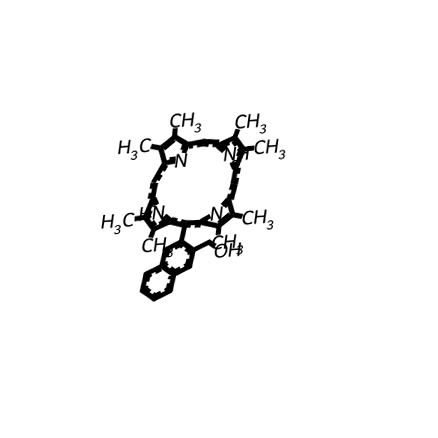 CC1=C(C)c2cc3[nH]c(c(C)c3C)c(-c3cc4ccccc4cc3CO)c3nc(cc4[nH]c(cc1n2)c(C)c4C)C(C)=C3C